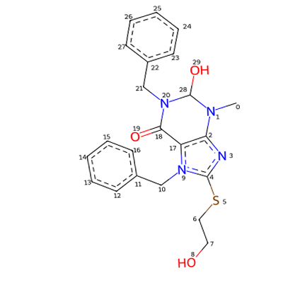 CN1c2nc(SCCO)n(Cc3ccccc3)c2C(=O)N(Cc2ccccc2)C1O